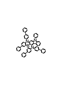 c1ccc(-c2ccc(N3c4ccc(-c5ccccc5)cc4B4c5cc(-c6ccccc6)ccc5N(c5ccc(-c6ccccc6)cc5)c5c4c3cc3c5c4ccccc4n3-c3ccccc3)cc2)cc1